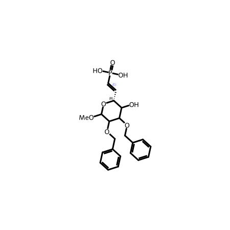 COC1O[C@H](/C=C/P(=O)(O)O)C(O)C(OCc2ccccc2)C1OCc1ccccc1